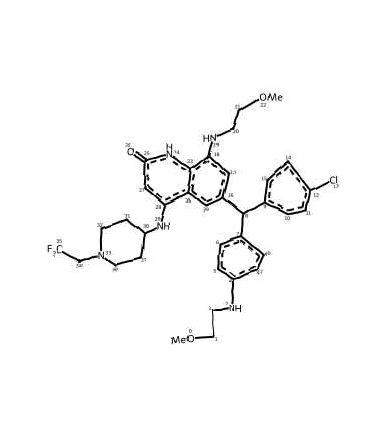 COCCNc1ccc(C(c2ccc(Cl)cc2)c2cc(NCCOC)c3[nH]c(=O)cc(NC4CCN(CC(F)(F)F)CC4)c3c2)cc1